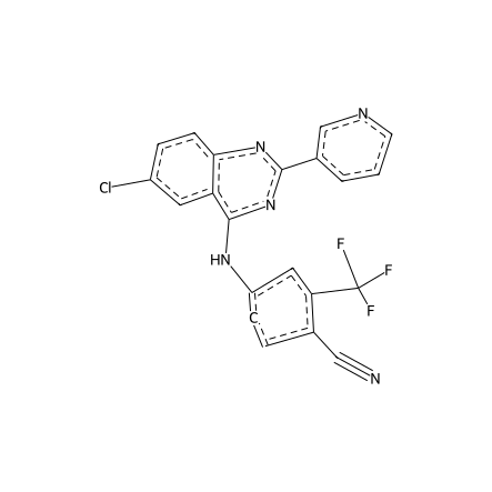 N#Cc1ccc(Nc2nc(-c3cccnc3)nc3ccc(Cl)cc23)cc1C(F)(F)F